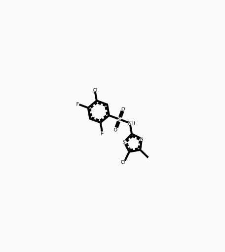 Cc1nc(NS(=O)(=O)c2cc(Cl)c(F)cc2F)sc1Cl